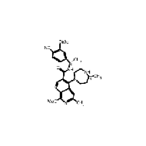 COc1cc([C@H](C)NC(=O)c2cnc3c(OC)nc(C)cc3c2N2CCN[C@@H](C)CC2)ccc1C#N